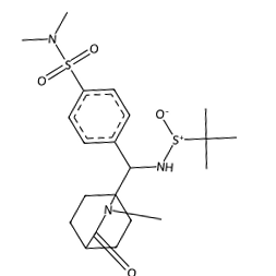 CN1C(=O)C2CCC1(C(N[S+]([O-])C(C)(C)C)c1ccc(S(=O)(=O)N(C)C)cc1)CC2